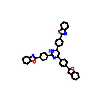 C1=C(C2=NC(c3ccc(-c4cc5ccccc5o4)cc3)=CC(c3ccc(-c4nc5ccccc5s4)cc3)N2)CCC(c2nc3ccccc3o2)=C1